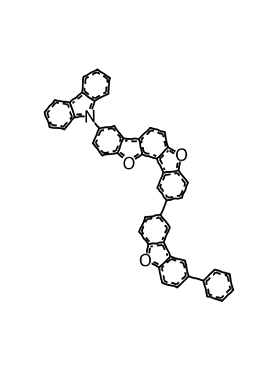 c1ccc(-c2ccc3oc4ccc(-c5ccc6oc7ccc8c9cc(-n%10c%11ccccc%11c%11ccccc%11%10)ccc9oc8c7c6c5)cc4c3c2)cc1